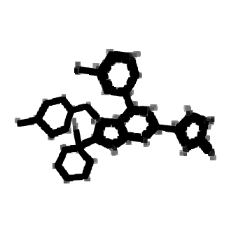 CC1CCC(Cn2c(C3(F)CCCCC3)nc3nc(-c4n[nH]c(=O)o4)nc(-c4cncc(Cl)c4)c32)CC1